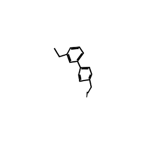 CCc1cccc(-c2ccc(CI)cc2)c1